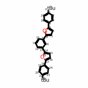 CC(C)(C)c1ccc(-c2ccc(-c3cccc(-c4ccc(-c5ccc(C(C)(C)C)cc5)o4)c3)o2)cc1